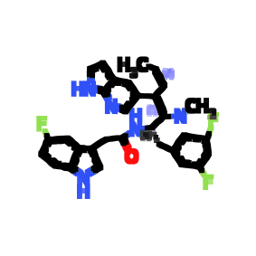 C=N/C(=C(\C=C/C)c1cnc2[nH]ccc2c1)[C@H](Cc1cc(F)cc(F)c1)NC(=O)Cc1c[nH]c2ccc(F)cc12